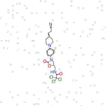 N#CCC=C1CCN(c2ccc(N3CC(CNC(=O)C(Cl)(Cl)Cl)OC3=O)cc2F)CC1